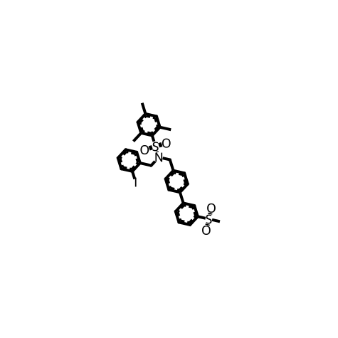 Cc1cc(C)c(S(=O)(=O)N(Cc2ccc(-c3cccc(S(C)(=O)=O)c3)cc2)Cc2ccccc2I)c(C)c1